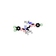 C=CC(C)(CCCO/C(COc1ccc(Cl)cc1)=N\N=C)NC(=O)COc1ccc(Cl)c(Cl)c1